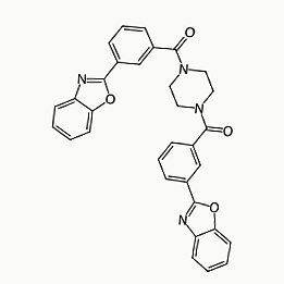 O=C(c1cccc(-c2nc3ccccc3o2)c1)N1CCN(C(=O)c2cccc(-c3nc4ccccc4o3)c2)CC1